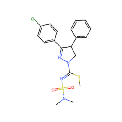 CSC(=NS(=O)(=O)N(C)C)N1CC(c2ccccc2)C(c2ccc(Cl)cc2)=N1